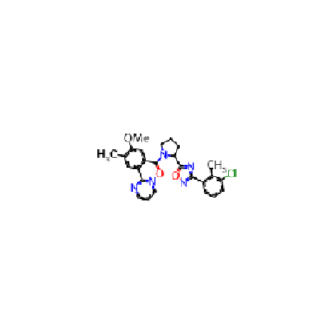 COc1cc(C(=O)N2CCCC2c2nc(-c3cccc(Cl)c3C)no2)c(-c2ncccn2)cc1C